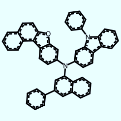 c1ccc(-c2cc(N(c3ccc4c(c3)oc3ccc5ccccc5c34)c3ccc4c5ccccc5n(-c5ccccc5)c4c3)c3ccccc3c2)cc1